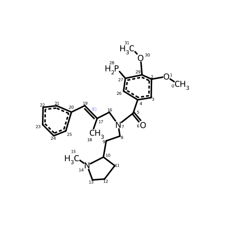 COc1cc(C(=O)N(CCC2CCCN2C)C/C(C)=C/c2ccccc2)cc(P)c1OC